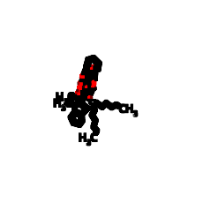 CCCCCC[Si]1(CCCCCC)C2=C(c3ccc(-c4ccccc4)cc3)[CH](c3ccccc32)[Hf]([CH3])([CH3])[CH]2C(c3ccc(-c4ccccc4)cc3)=C1c1ccccc12